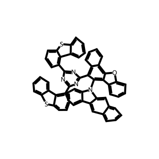 c1ccc2cc3c(cc2c1)c1ccccc1n3-c1c(-c2nc(-c3cccc4sc5ccccc5c34)nc(-c3cccc4sc5ccccc5c34)n2)c2ccccc2c2oc3ccccc3c12